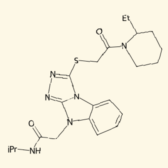 CCC1CCCCN1C(=O)CSc1nnc2n(CC(=O)NC(C)C)c3ccccc3n12